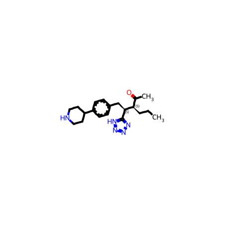 CCC[C@H](C(C)=O)[C@H](Cc1ccc(C2CCNCC2)cc1)c1nnn[nH]1